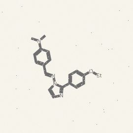 CCOc1ccc(-c2nccn2/N=C/c2ccc(N(C)C)cc2)cc1